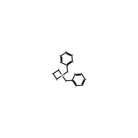 c1ccc(C[Si]2(Cc3ccccc3)CCC2)cc1